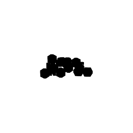 c1ccc(-c2nc(-c3ccccc3)nc(-c3cccc(-c4ccc(-c5cccc6sc7c(-c8ccccc8)cccc7c56)c5oc6ccccc6c45)c3)n2)cc1